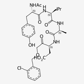 CC(=O)N[C@@H](Cc1ccc(O)cc1)C(=O)N[C@H](C(=O)N[C@@H](C)C(=O)N[C@@H](CC(=O)O)C(=O)COCc1ccccc1Cl)C(C)C